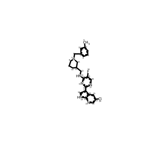 Cc1cccc(CN2CCCC(CNc3nc(-c4c[nH]c5ncc(Cl)cc45)ncc3F)C2)c1